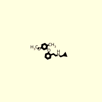 COc1[c]cc(C)c(Oc2ccccc2CCNCC2CC2)c1